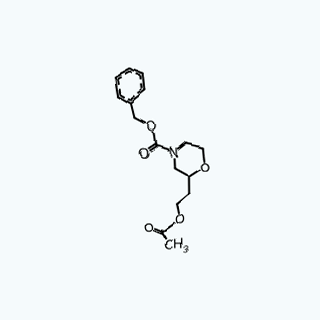 CC(=O)OCCC1CN(C(=O)OCc2ccccc2)CCO1